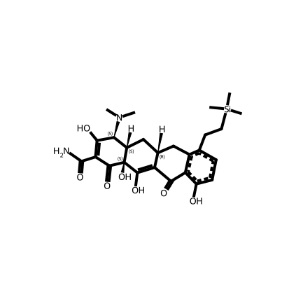 CN(C)[C@@H]1C(O)=C(C(N)=O)C(=O)[C@@]2(O)C(O)=C3C(=O)c4c(O)ccc(CC[Si](C)(C)C)c4C[C@H]3C[C@@H]12